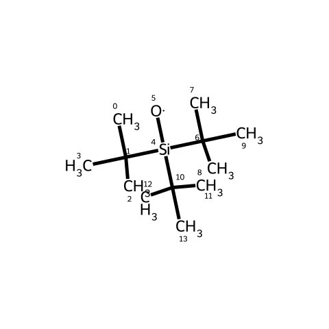 CC(C)(C)[Si]([O])(C(C)(C)C)C(C)(C)C